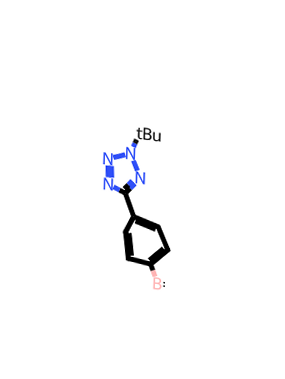 [B]c1ccc(-c2nnn(C(C)(C)C)n2)cc1